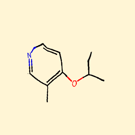 Cc1[c]nccc1OC(C)C